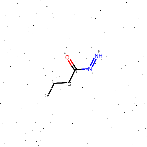 CC[CH]C(=O)N=N